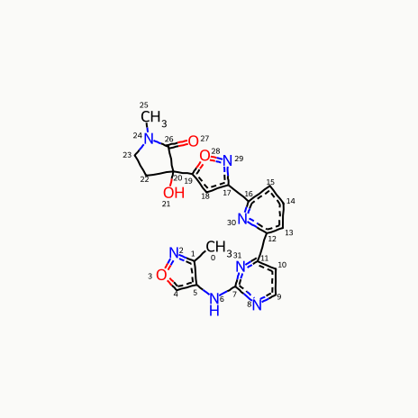 Cc1nocc1Nc1nccc(-c2cccc(-c3cc(C4(O)CCN(C)C4=O)on3)n2)n1